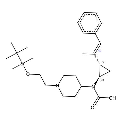 C/C(=C\c1ccccc1)[C@@H]1C[C@H]1N(C(=O)O)C1CCN(CCO[Si](C)(C)C(C)(C)C)CC1